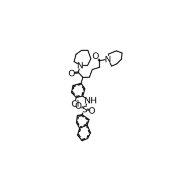 O=C(CCCC(C(=O)N1CCCCCC1)c1ccc(Cl)c(NS(=O)(=O)c2ccc3ccccc3c2)c1)N1CCCCCC1